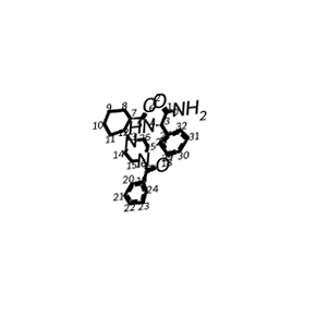 NC(=O)[C@@H](NC(=O)[C@@H]1CCCC[C@H]1N1CCN(C(=O)c2ccccc2)CC1)c1ccccc1